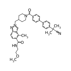 COCCNC(=O)c1ccc2nn(CC3CCN(C(=O)c4ccc(-c5ccc(C(C)(C)C#N)cc5)cc4)CC3)cc2c1C